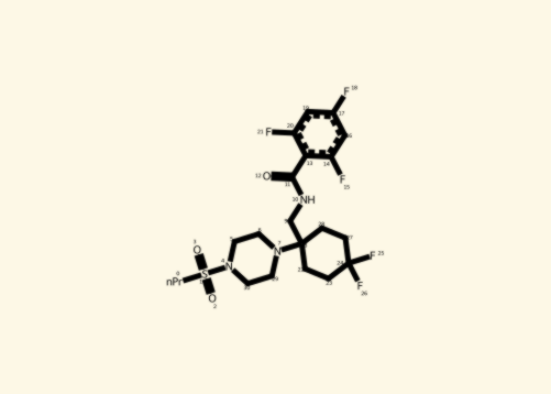 CCCS(=O)(=O)N1CCN(C2(CNC(=O)c3c(F)cc(F)cc3F)CCC(F)(F)CC2)CC1